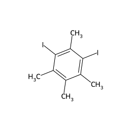 Cc1c(C)c(I)c(C)c(I)c1C